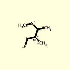 CSC(C)[C@@H](C)CF